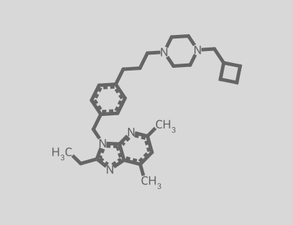 CCc1nc2c(C)cc(C)nc2n1Cc1ccc(CCCN2CCN(CC3CCC3)CC2)cc1